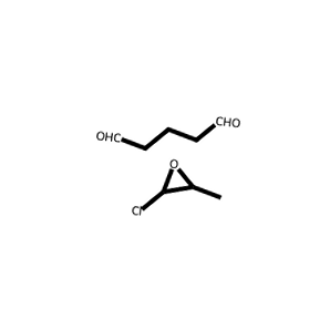 CC1OC1Cl.O=CCCCC=O